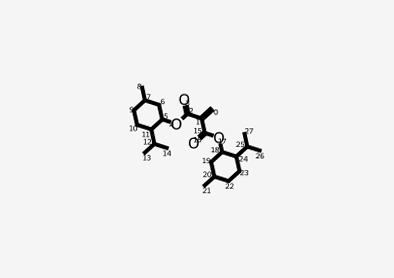 C=C(C(=O)OC1CC(C)CCC1C(C)C)C(=O)OC1CC(C)CCC1C(C)C